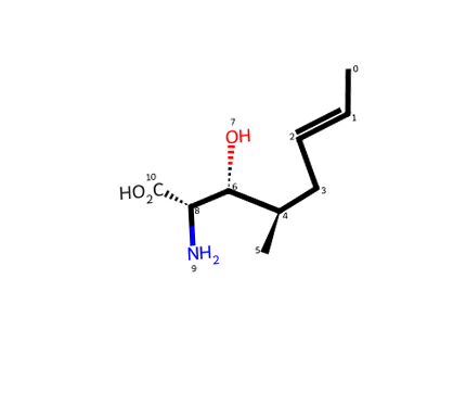 C/C=C/C[C@@H](C)[C@@H](O)[C@H](N)C(=O)O